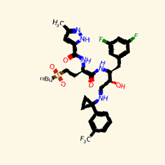 CCCCS(=O)(=O)CC[C@@H](NC(=O)c1cc(C)n[nH]1)C(=O)N[C@@H](Cc1cc(F)cc(F)c1)[C@@H](O)CNC1(c2cccc(C(F)(F)F)c2)CC1